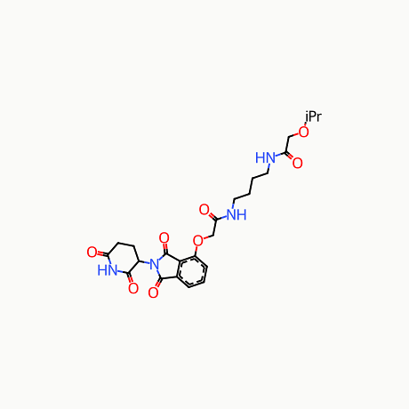 CC(C)OCC(=O)NCCCCNC(=O)COc1cccc2c1C(=O)N(C1CCC(=O)NC1=O)C2=O